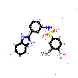 COc1cc(S(=O)(=O)Nc2cccc(-c3nc4ccccc4[nH]3)c2)ccc1O